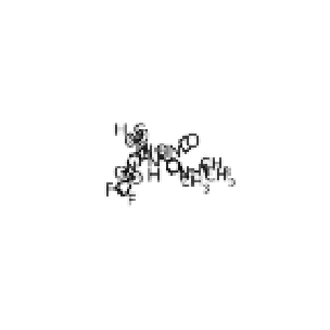 COC(=O)n1nc(NC(=O)c2ccc(N(C)CCN(C)C)cc2NC2CCOCC2)c2c1CCN(S(=O)(=O)c1cc(F)cc(F)c1)C2